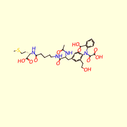 CSCC[C@H](NC(=O)CCCCNC(=O)C(Cc1ccc(N(C(=O)C(=O)O)c2ccccc2C(=O)O)c(CCO)c1)NC(C)=O)C(=O)O